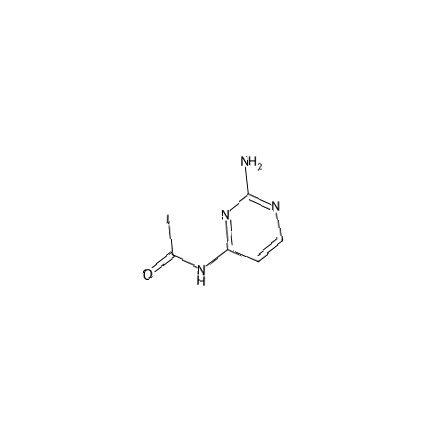 Nc1nccc(NC(=O)I)n1